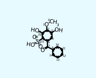 COc1c(O)cc(C(=O)c2ccccc2)c(S(=O)(=O)O)c1O